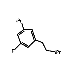 CC(C)CCc1cc(F)cc(C(C)C)c1